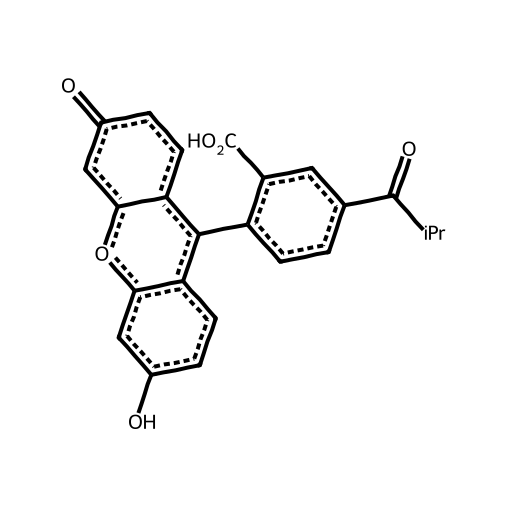 CC(C)C(=O)c1ccc(-c2c3ccc(=O)cc-3oc3cc(O)ccc23)c(C(=O)O)c1